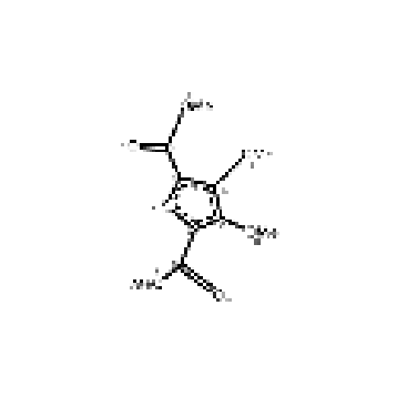 COC(=O)c1sc(C(=O)OC)c(OC)c1OC